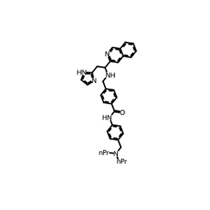 CCCN(CCC)Cc1ccc(NC(=O)c2ccc(CNC(Cc3ncc[nH]3)c3cc4ccccc4cn3)cc2)cc1